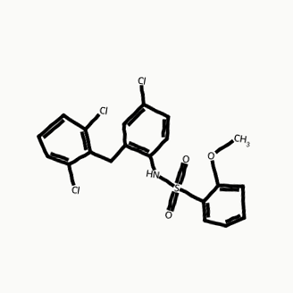 COc1ccccc1S(=O)(=O)Nc1ccc(Cl)cc1Cc1c(Cl)cccc1Cl